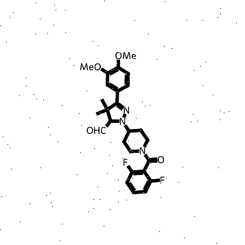 COc1ccc(C2=NN(C3CCN(C(=O)c4c(F)cccc4F)CC3)C(C=O)C2(C)C)cc1OC